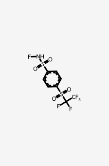 O=S(=O)(NF)c1ccc(S(=O)(=O)C(F)(F)C(F)(F)F)cc1